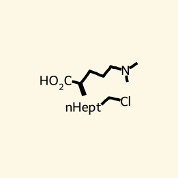 C=C(CCCN(C)C)C(=O)O.CCCCCCCCCl